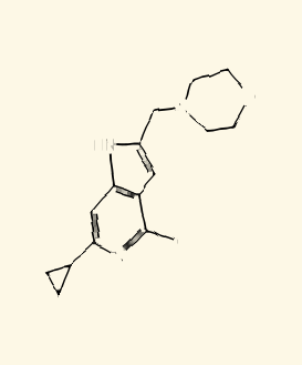 Clc1nc(C2CC2)cc2[nH]c(CN3CCOCC3)cc12